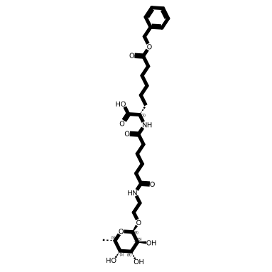 C[C@@H]1O[C@@H](OCCNC(=O)CCCCC(=O)N[C@@H](CCCCCC(=O)OCc2ccccc2)C(=O)O)[C@@H](O)[C@H](O)[C@@H]1O